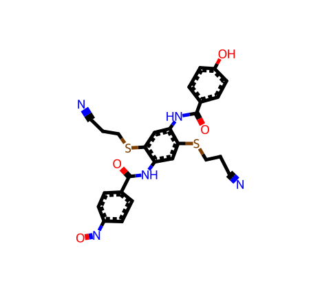 N#CCCSc1cc(NC(=O)c2ccc(N=O)cc2)c(SCCC#N)cc1NC(=O)c1ccc(O)cc1